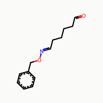 O=CCCCCC=NOCc1ccccc1